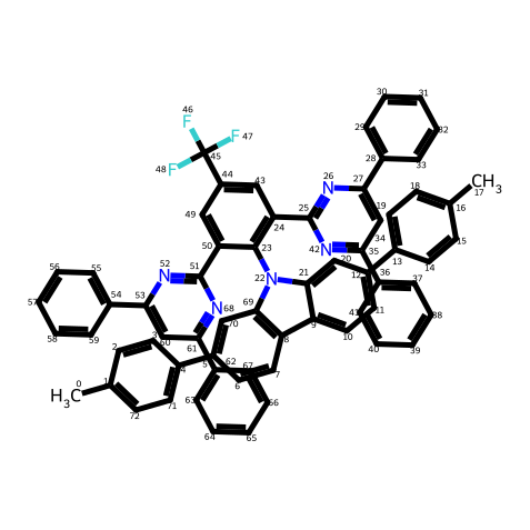 Cc1ccc(-c2ccc3c4ccc(-c5ccc(C)cc5)cc4n(-c4c(-c5nc(-c6ccccc6)cc(-c6ccccc6)n5)cc(C(F)(F)F)cc4-c4nc(-c5ccccc5)cc(-c5ccccc5)n4)c3c2)cc1